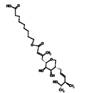 C/C(=C\C(=O)OCCCCCCCCC(=O)O)C[C@@H]1OC[C@H](C/C=C/[C@@H](C)[C@H](C)O)[C@@H](O)[C@H]1O